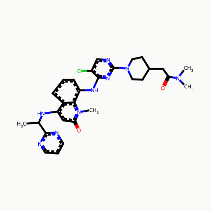 CC(Nc1cc(=O)n(C)c2c(Nc3nc(N4CCC(CC(=O)N(C)C)CC4)ncc3Cl)cccc12)c1ncccn1